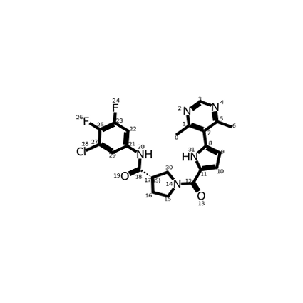 Cc1ncnc(C)c1-c1ccc(C(=O)N2CC[C@H](C(=O)Nc3cc(F)c(F)c(Cl)c3)C2)[nH]1